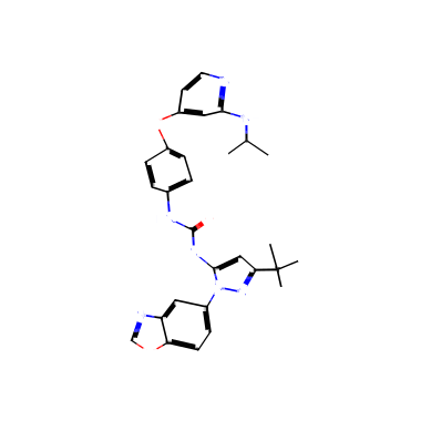 CC(C)Nc1cc(Oc2ccc(NC(=O)Nc3cc(C(C)(C)C)nn3-c3ccc4ocnc4c3)cc2)ccn1